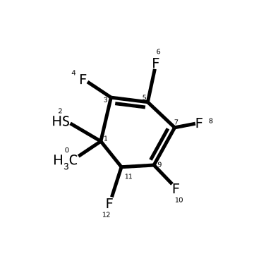 CC1(S)C(F)=C(F)C(F)=C(F)C1F